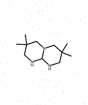 CC1(C)CNC2NCC(C)(C)CN2C1